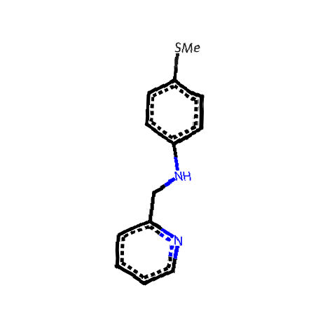 CSc1ccc(NCc2ccccn2)cc1